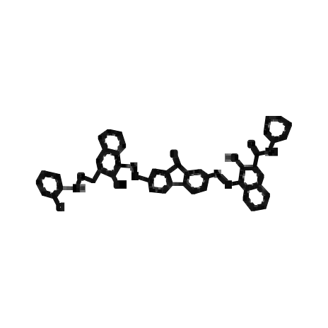 O=C1c2cc(N=Nc3c(O)c(CONc4ccccc4Cl)cc4ccccc34)ccc2-c2ccc(N=Nc3c(O)c(C(=O)Nc4ccccc4)cc4ccccc34)cc21